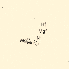 [Hf].[Mg+2].[Mg+2].[Mg+2].[N-3].[N-3]